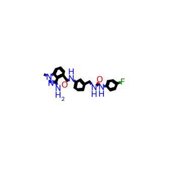 Cn1nc(N)c2c(C(=O)Nc3cccc(CNC(=O)Nc4ccc(F)cc4)c3)cccc21